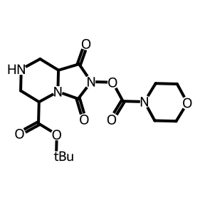 CC(C)(C)OC(=O)C1CNCC2C(=O)N(OC(=O)N3CCOCC3)C(=O)N12